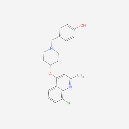 Cc1cc(OC2CCN(Cc3ccc(O)cc3)CC2)c2cccc(F)c2n1